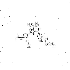 COC(=O)NC1CCN(C(=O)c2nc(-c3ccc(OC(F)F)c(OCC4CC4)c3)oc2[C@H](C)N)CC1